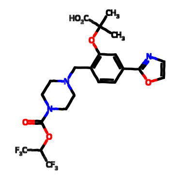 CC(C)(Oc1cc(-c2ncco2)ccc1CN1CCN(C(=O)OC(C(F)(F)F)C(F)(F)F)CC1)C(=O)O